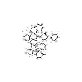 CC1(C)c2ccccc2-c2c1cc1ccccc1c2N(c1ccc(-c2ccccc2)cc1)c1ccc2c(c1)C(c1ccccc1)(c1ccccc1)c1ccccc1-2